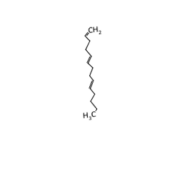 C=CCC/C=C/CC/C=C/CCCC